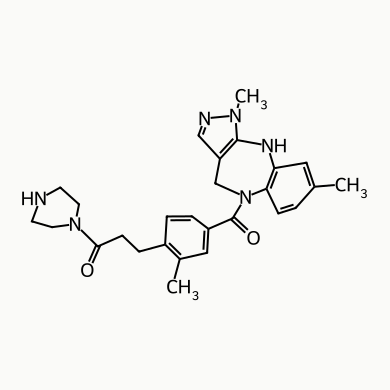 Cc1ccc2c(c1)Nc1c(cnn1C)CN2C(=O)c1ccc(CCC(=O)N2CCNCC2)c(C)c1